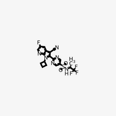 C[C@H](NS(=O)(=O)c1cnc(-c2c(C#N)c3cc(F)cnc3n2C2CCC2)nc1)C(F)(F)F